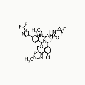 C=N/C=N\N(c1cc([C@@H](COC(=O)NC2CC2(F)F)N(C(=N)NCC)C(=O)c2ccc(-c3cnn(C(F)F)c3)cc2)ccc1Cl)C(F)F